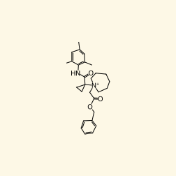 Cc1cc(C)c(NC(=O)C2([N+]3(CC(=O)OCc4ccccc4)CCCCCC3)CC2)c(C)c1